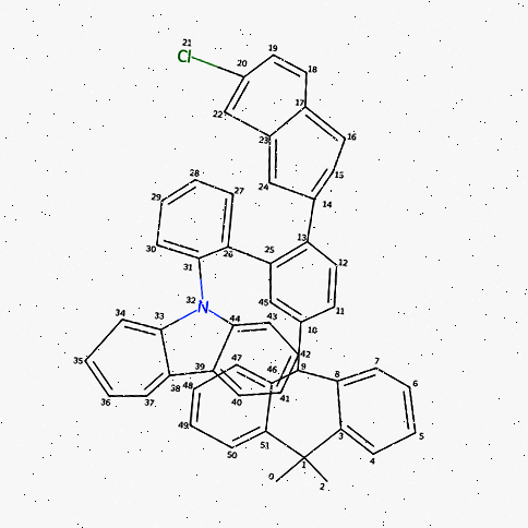 CC1(C)c2ccccc2C(c2ccc(-c3ccc4ccc(Cl)cc4c3)c(-c3ccccc3-n3c4ccccc4c4ccccc43)c2)c2ccccc21